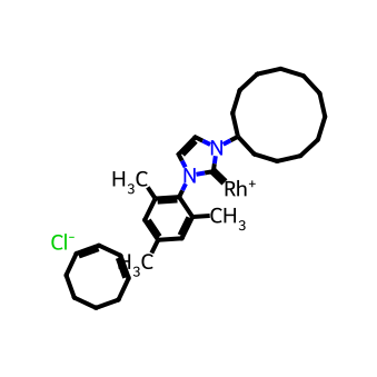 C1=C\CCCC\C=C/1.Cc1cc(C)c(-n2ccn(C3CCCCCCCCCCC3)[c]2=[Rh+])c(C)c1.[Cl-]